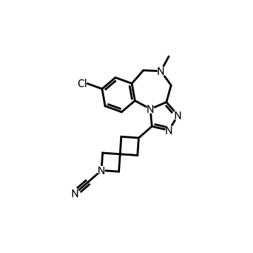 CN1Cc2cc(Cl)ccc2-n2c(nnc2C2CC3(C2)CN(C#N)C3)C1